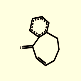 O=C1/C=C\CCCc2ccccc21